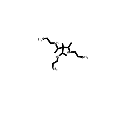 CC(NCCN)C(C)(C(C)NCCN)C(C)NCCN